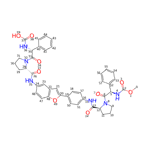 COC(=O)N[C@@H](C(=O)N1CCC[C@H]1C(=O)Nc1ccc(-c2cc3cc(NC(=O)[C@@H]4CCCN4C(=O)[C@H](NC(=O)O)c4ccccc4)ccc3o2)cc1)c1ccccc1